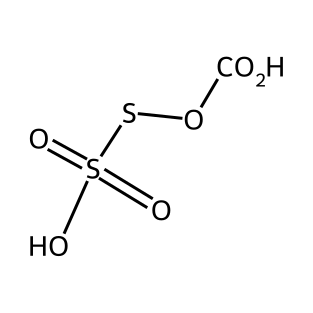 O=C(O)OSS(=O)(=O)O